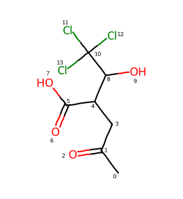 CC(=O)CC(C(=O)O)C(O)C(Cl)(Cl)Cl